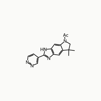 CC(=O)N1CC(C)(C)c2cc3nc(-c4ccnnc4)[nH]c3cc21